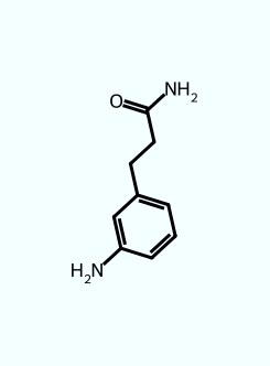 NC(=O)CCc1cccc(N)c1